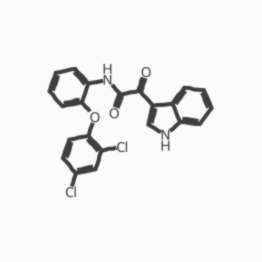 O=C(Nc1ccccc1Oc1ccc(Cl)cc1Cl)C(=O)c1c[nH]c2ccccc12